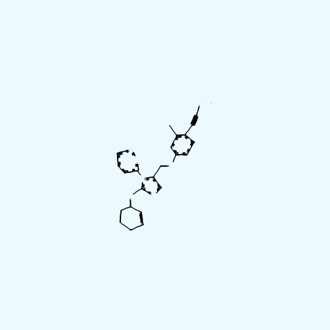 COC#Cc1ccc(OCc2cnc(SC3C=CCCC3)n2-c2cccnc2)cc1C